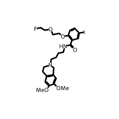 COc1cc2c(cc1OC)CN(CCCCNC(=O)c1cc(I)ccc1OCCOCCF)CC2